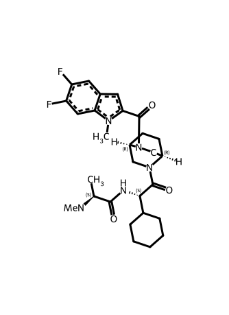 CN[C@@H](C)C(=O)N[C@H](C(=O)N1C[C@H]2CC[C@@H]1CN2C(=O)c1cc2cc(F)c(F)cc2n1C)C1CCCCC1